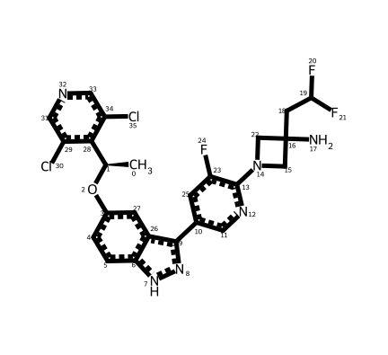 C[C@@H](Oc1ccc2[nH]nc(-c3cnc(N4CC(N)(CC(F)F)C4)c(F)c3)c2c1)c1c(Cl)cncc1Cl